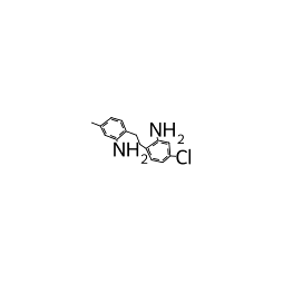 Cc1ccc(CCc2ccc(Cl)cc2N)c(N)c1